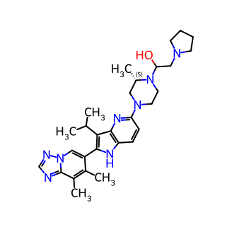 Cc1c(-c2[nH]c3ccc(N4CCN(C(O)CN5CCCC5)[C@@H](C)C4)nc3c2C(C)C)cn2ncnc2c1C